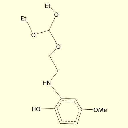 CCOC(OCC)OCCNc1cc(OC)ccc1O